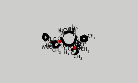 CC[C@H]1OC(=O)[C@H](C)[C@@H](O[C@H]2C[C@@](C)(OC)[C@](O)(CNC3CCCCC3)[C@H](C)O2)[C@H](C)[C@@H](O[C@@H]2O[C@H](C)C[C@H](N(C)S(=O)(=O)Nc3ccc(C(F)(F)F)cc3)[C@H]2O)[C@](C)(O)C[C@@H](C)CN[C@H](C)[C@@H](O)[C@]1(C)O